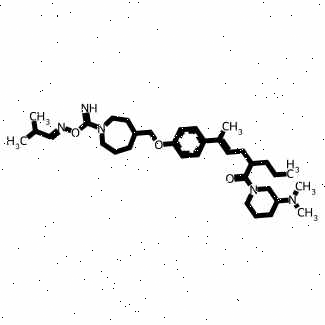 CCCC(C/C=C(\C)c1ccc(OCC2CCCN(C(=N)O/N=C/C(C)C)CC2)cc1)C(=O)N1CCCC(N(C)C)C1